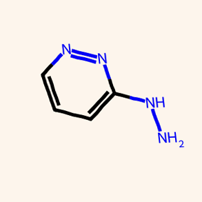 NNc1cccnn1